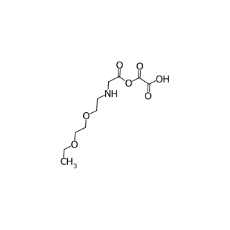 CCOCCOCCNCC(=O)OC(=O)C(=O)O